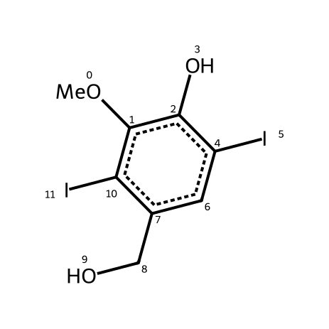 COc1c(O)c(I)cc(CO)c1I